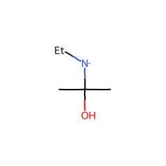 CC[N]C(C)(C)O